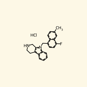 Cc1ccc2c(Cn3c4c(c5ccccc53)CCNC4)ccc(F)c2c1.Cl